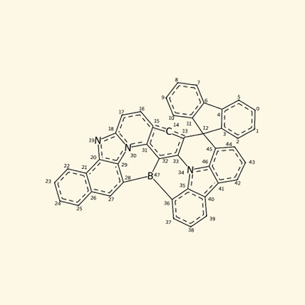 c1ccc2c(c1)-c1ccccc1C21c2cc3ccc4nc5c6ccccc6cc6c5n4c3c3c2-n2c4c(cccc4c4cccc1c42)B36